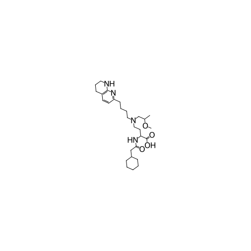 COC(C)CN(CCCCc1ccc2c(n1)NCCC2)CCC(NC(=O)CC1CCCCC1)C(=O)O